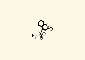 O=c1cc(OS(=O)(=O)C(F)(F)F)c2c(o1)CCCC2